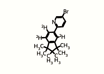 [2H]c1c([2H])c2c(c([2H])c1-c1ccc(Br)cn1)C(C)(C)C(C)(C)C2(C)C